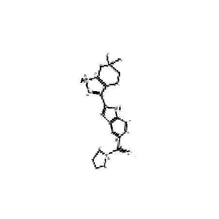 CC1(C)CCc2c(-c3cc4cc(C(=O)N5CCCC5)ccc4[nH]3)n[nH]c2C1